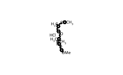 COc1ccc(COc2ccc(Oc3c(C)cc(/C=C/C(=O)N4CCN(Cc5ccc(CCOc6ccc(C)cc6)c(C)c5)CC4)cc3C)nc2)cc1.Cl